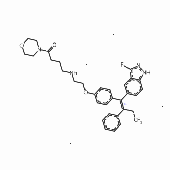 O=C(CCCNCCOc1ccc(/C(=C(/CC(F)(F)F)c2ccccc2)c2ccc3[nH]nc(F)c3c2)cc1)N1CCOCC1